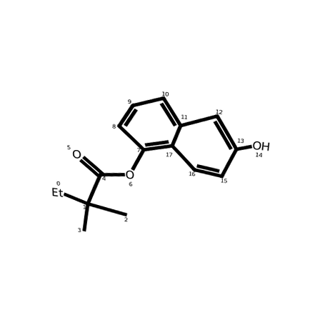 CCC(C)(C)C(=O)Oc1cccc2cc(O)ccc12